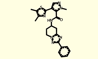 Cc1nc(-c2cnn(C)c2C(=O)NC2CCn3nc(-c4ccccc4)nc3C2)sc1C